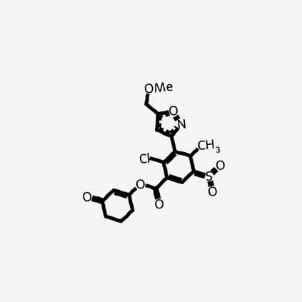 COCc1cc(C2=C(Cl)C(C(=O)OC3=CC(=O)CCC3)=CC(=S(=O)=O)C2C)no1